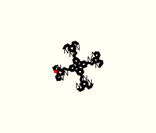 c1cnc2c3c(c4ncccc4c2c1)N=C(c1ccc(C(c2ccc(C4=Nc5c(c6ncccc6c6cccnc56)C4)cc2)(c2ccc(C4=Nc5c(c6ncccc6c6cccnc56)C4)cc2)c2ccc(C4=Nc5c(c6ncccc6c6cccnc56)C4)cc2)cc1)C3